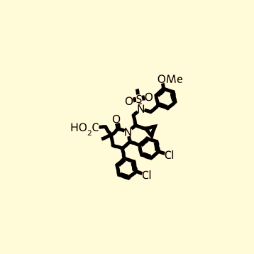 COc1cccc(CN(CC(C2CC2)N2C(=O)C(C)(CC(=O)O)CC(c3cccc(Cl)c3)C2c2ccc(Cl)cc2)S(C)(=O)=O)c1